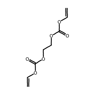 C=COC(=O)OCCOC(=O)OC=C